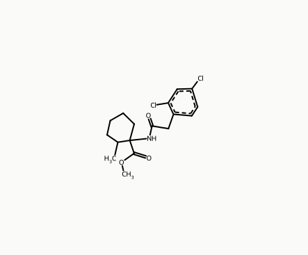 COC(=O)C1(NC(=O)Cc2ccc(Cl)cc2Cl)CCCCC1C